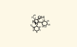 CCc1nn(-c2ccccc2C)c(-c2ccccc2)c1O